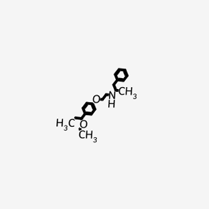 CCOC(CC)c1ccc(OCCNC(C)Cc2ccccc2)cc1